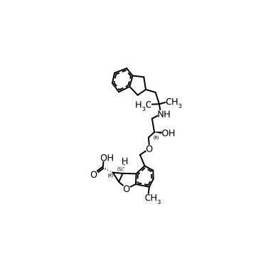 Cc1ccc(COC[C@H](O)CNC(C)(C)CC2Cc3ccccc3C2)c2c1OC1[C@H](C(=O)O)[C@@H]21